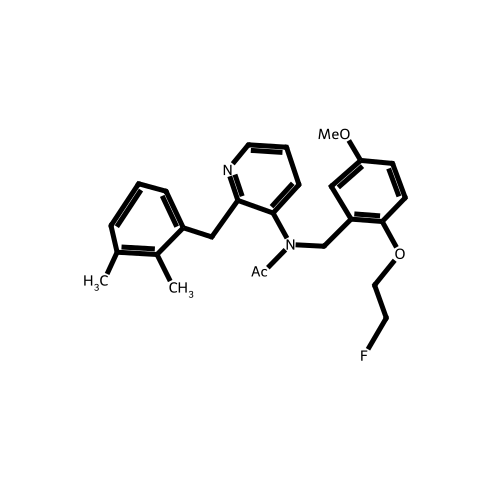 COc1ccc(OCCF)c(CN(C(C)=O)c2cccnc2Cc2cccc(C)c2C)c1